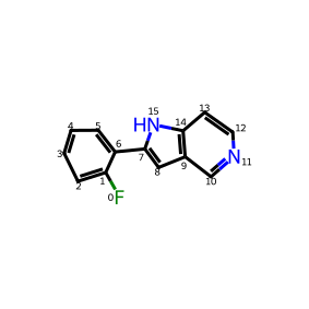 Fc1ccccc1-c1cc2cnccc2[nH]1